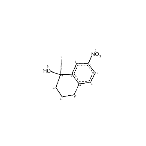 O=[N+]([O-])c1ccc2c(c1)C(O)(I)CCC2